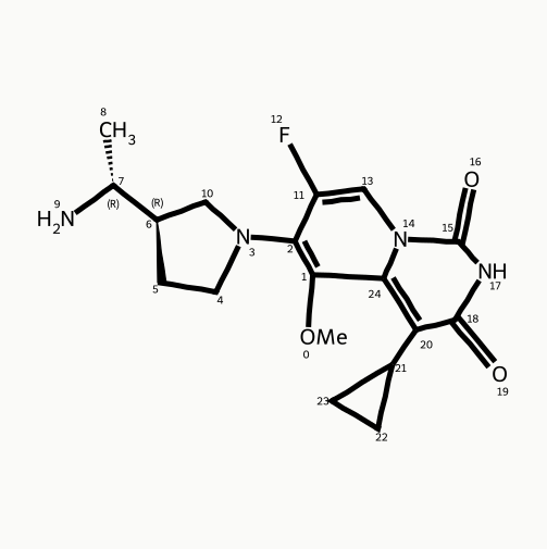 COc1c(N2CC[C@@H]([C@@H](C)N)C2)c(F)cn2c(=O)[nH]c(=O)c(C3CC3)c12